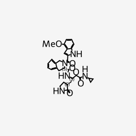 COc1cccc2[nH]c(C(=O)N3Cc4ccccc4C[C@H]3C(=O)N[C@@H](C[C@@H]3CCNC3=O)C(=O)C(=O)NC3CC3)cc12